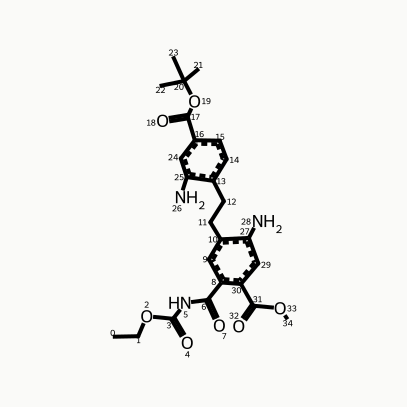 CCOC(=O)NC(=O)c1cc(CCc2ccc(C(=O)OC(C)(C)C)cc2N)c(N)cc1C(=O)OC